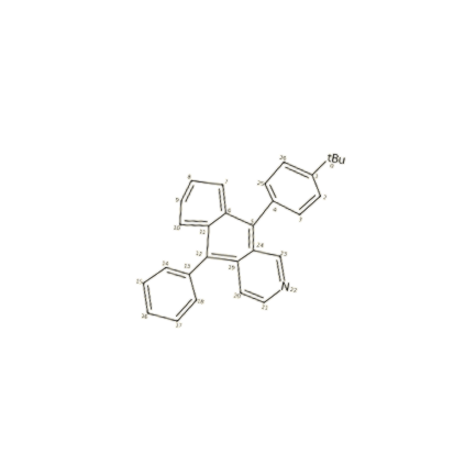 CC(C)(C)c1ccc(-c2c3ccccc3c(-c3ccccc3)c3ccncc23)cc1